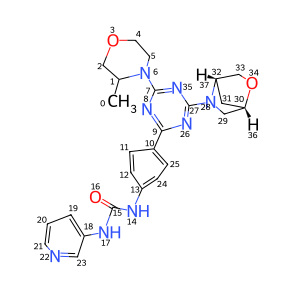 CC1COCCN1c1nc(-c2ccc(NC(=O)Nc3cccnc3)cc2)nc(N2C[C@@H]3C[C@H]2CO3)n1